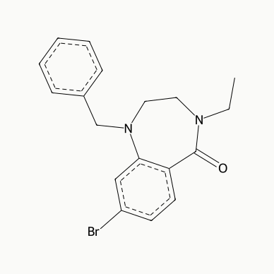 CCN1CCN(Cc2ccccc2)c2cc(Br)ccc2C1=O